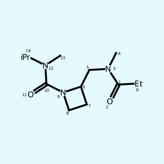 CCC(=O)N(C)CC1CCN1C(=O)N(C)C(C)C